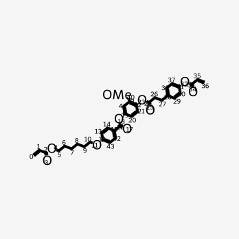 C=CC(=O)OCCCCCCOc1ccc(C(=O)Oc2ccc(OC(=O)CCc3ccc(OC(=O)C=C)cc3)c(OC)c2)cc1